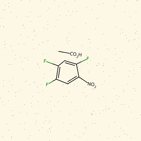 CC(=O)O.O=[N+]([O-])c1cc(F)c(F)cc1F